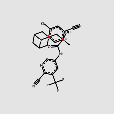 C[C@](O)(CN1CC2CC(C1)N2c1ccc(C#N)cc1Cl)C(=O)Nc1cnc(C#N)c(C(F)(F)F)c1